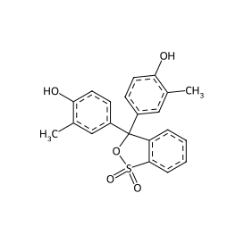 Cc1cc(C2(c3ccc(O)c(C)c3)OS(=O)(=O)c3ccccc32)ccc1O